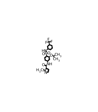 CC(C)Oc1cc(NC(=O)c2ccnn2C)ccc1S(=O)(=O)Nc1cccc(C(F)(F)F)c1